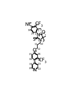 Cc1c(N2C(=O)C(C)(C)N(CCCOc3ccc(-c4ccncc4)c(C(F)(F)F)c3)C2=S)ccc(C#N)c1C(F)(F)F